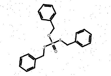 O=P(OCc1ccccc1)(SCc1ccccc1)SCc1ccccc1